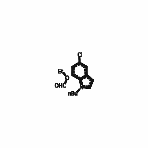 CCCCn1ccc2cc(Cl)ccc21.CCOC=O